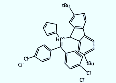 CC(C)(C)c1ccc2c(c1)[CH]([Hf+2]([C]1=CC=CC1)=[C](c1ccc(Cl)cc1)c1ccc(Cl)cc1)c1cc(C(C)(C)C)ccc1-2.[Cl-].[Cl-]